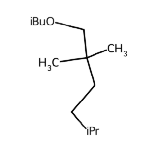 CC(C)CCC(C)(C)COCC(C)C